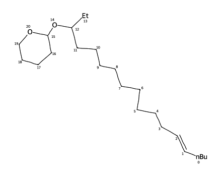 CCCC/C=C/CCCCCCCCCC(CC)OC1CCCCO1